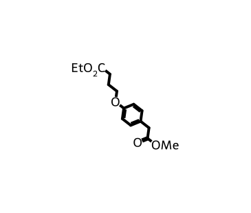 CCOC(=O)CCCOc1ccc(CC(=O)OC)cc1